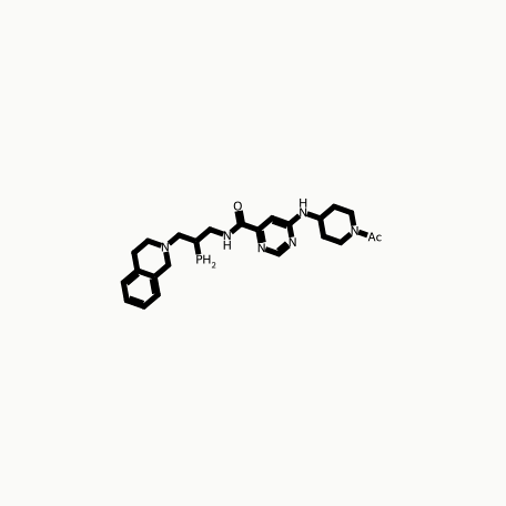 CC(=O)N1CCC(Nc2cc(C(=O)NCC(P)CN3CCc4ccccc4C3)ncn2)CC1